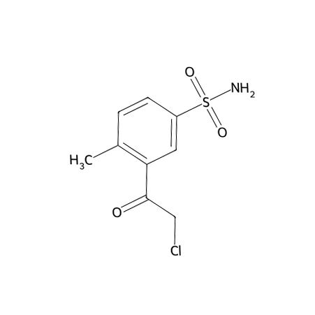 Cc1ccc(S(N)(=O)=O)cc1C(=O)CCl